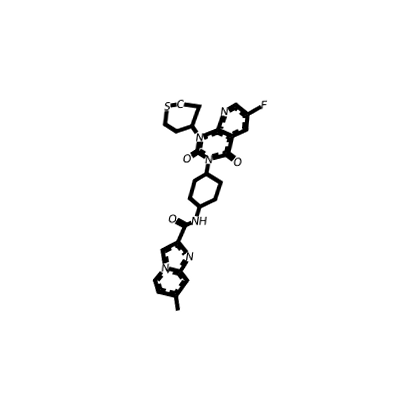 Cc1ccn2cc(C(=O)NC3CCC(n4c(=O)c5cc(F)cnc5n(C5CCSCC5)c4=O)CC3)nc2c1